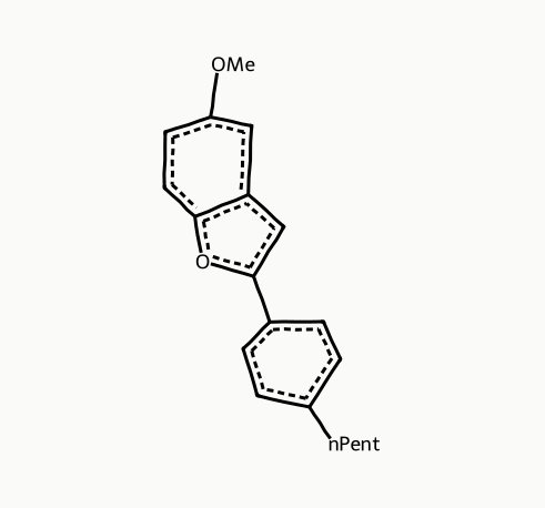 CCCCCc1ccc(-c2cc3cc(OC)ccc3o2)cc1